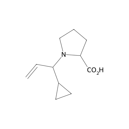 C=CC(C1CC1)N1CCCC1C(=O)O